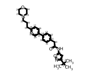 CC(C)(C)c1cc(NC(=O)Cc2ccc(-c3ccc(CCCN4CCOCC4)nc3)cc2)on1